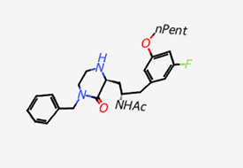 CCCCCOc1cc(F)cc(C[C@@H](C[C@@H]2NCCN(Cc3ccccc3)C2=O)NC(C)=O)c1